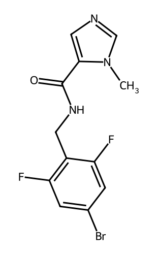 Cn1cncc1C(=O)NCc1c(F)cc(Br)cc1F